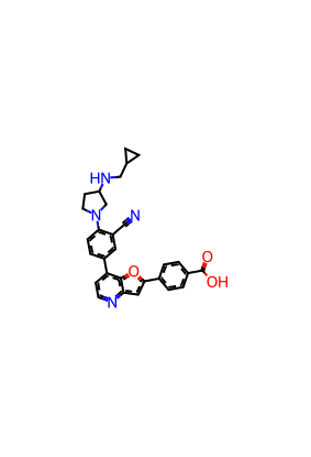 N#Cc1cc(-c2ccnc3cc(-c4ccc(C(=O)O)cc4)oc23)ccc1N1CCC(NCC2CC2)C1